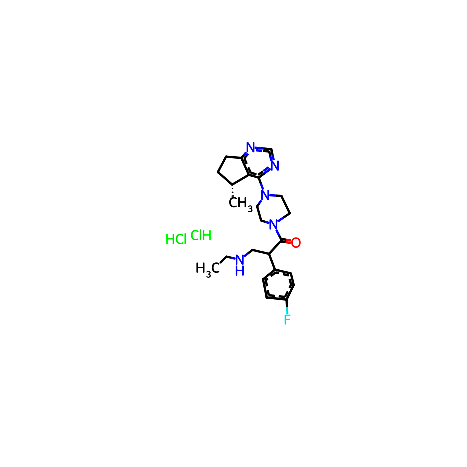 CCNCC(C(=O)N1CCN(c2ncnc3c2[C@H](C)CC3)CC1)c1ccc(F)cc1.Cl.Cl